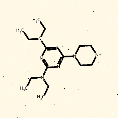 CCN(CC)c1cc(N2CCNCC2)nc(N(CC)CC)n1